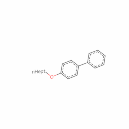 [CH2]CCCCCCOc1ccc(-c2ccccc2)cc1